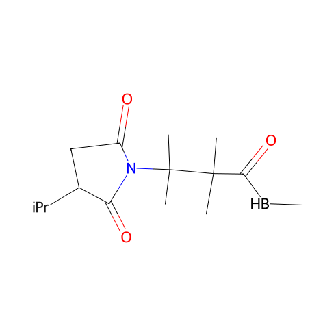 CBC(=O)C(C)(C)C(C)(C)N1C(=O)CC(C(C)C)C1=O